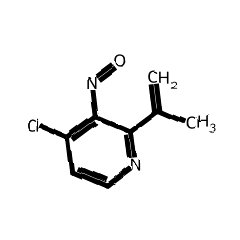 C=C(C)c1nccc(Cl)c1N=O